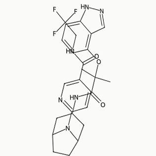 CC(C)(Oc1cccc2[nH]ncc12)C(=O)NC1CC2CCC(C1)N2c1ccc(C(=O)NCC(F)(F)F)cn1